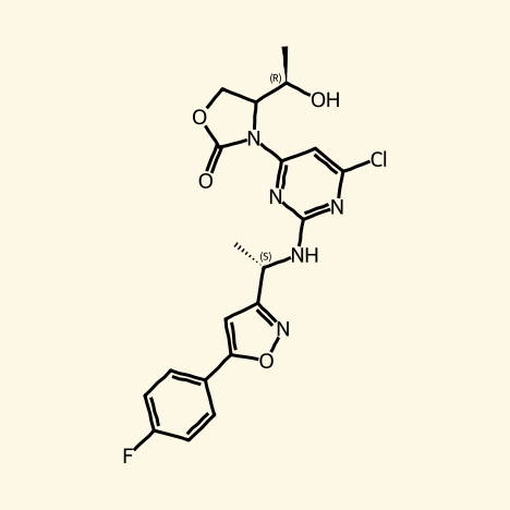 C[C@H](Nc1nc(Cl)cc(N2C(=O)OCC2[C@@H](C)O)n1)c1cc(-c2ccc(F)cc2)on1